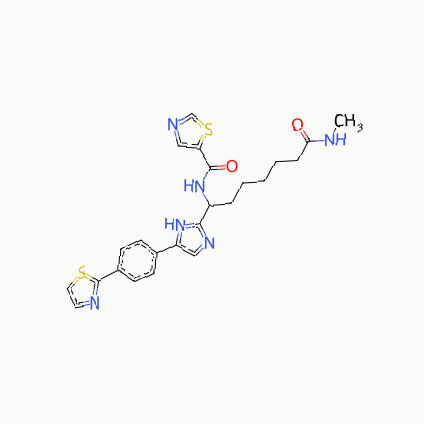 CNC(=O)CCCCCC(NC(=O)c1cncs1)c1ncc(-c2ccc(-c3nccs3)cc2)[nH]1